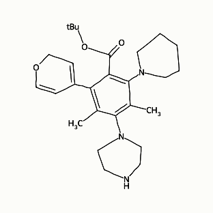 Cc1c(C2=CCOC=C2)c(C(=O)OC(C)(C)C)c(N2CCCCC2)c(C)c1N1CCNCC1